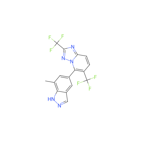 Cc1cc(-c2c(C(F)(F)F)ccc3nc(C(F)(F)F)nn23)cc2cn[nH]c12